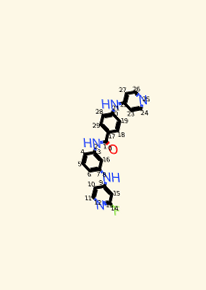 O=C(Nc1cccc(Nc2ccnc(F)c2)c1)c1ccc(Nc2ccncc2)cc1